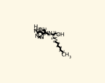 CCCCCCCSC[C@@H](CO)NCc1c[nH]c2c(N)ncnc12